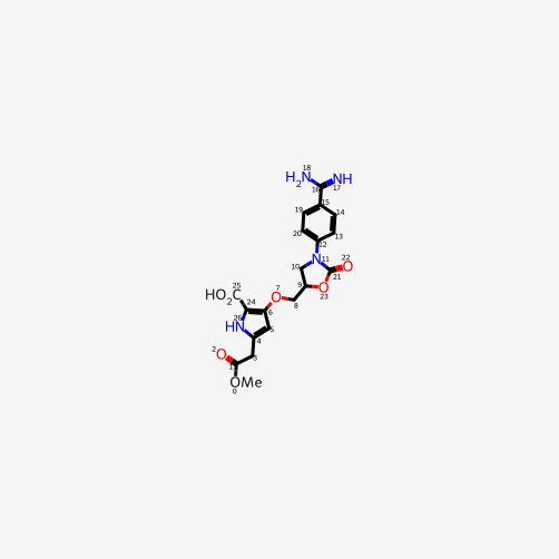 COC(=O)Cc1cc(OCC2CN(c3ccc(C(=N)N)cc3)C(=O)O2)c(C(=O)O)[nH]1